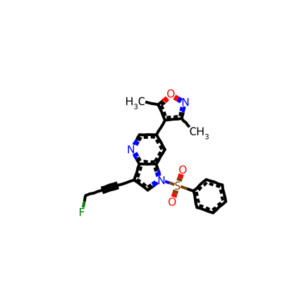 Cc1noc(C)c1-c1cnc2c(C#CCF)cn(S(=O)(=O)c3ccccc3)c2c1